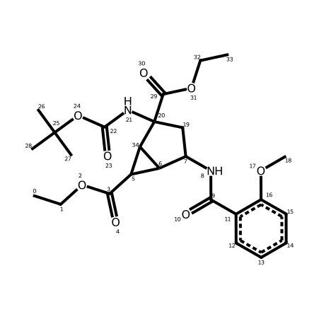 CCOC(=O)C1C2C(NC(=O)c3ccccc3OC)CC(NC(=O)OC(C)(C)C)(C(=O)OCC)C12